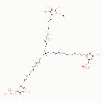 CCOCC1OC(OCCOCCOCCNC(=O)CCOCC(C)(COCCC(=O)NCCOCCOCCOC2OC(COP(=O)(O)O)C(O)C(O)C2O)COCCC(=O)NCCOCCOCCOC2OC(COP(=O)(O)O)C(O)C(O)C2O)C(O)C(O)C1O